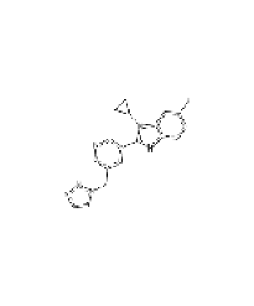 Ic1ccc2nc(-c3cncc(Cn4ccnn4)c3)n(C3CC3)c2c1